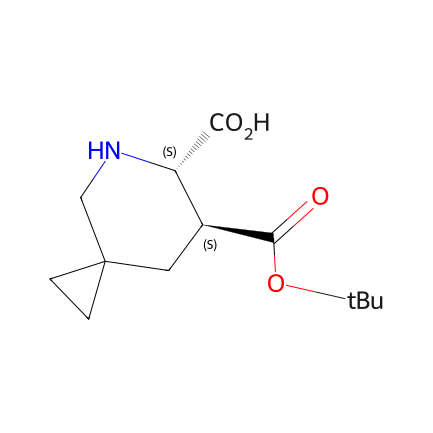 CC(C)(C)OC(=O)[C@H]1CC2(CC2)CN[C@@H]1C(=O)O